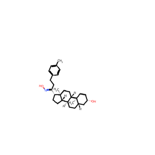 Cc1ccc(CC/C(=N\O)[C@H]2CC[C@H]3[C@@H]4CC[C@H]5C[C@@H](O)CC[C@]5(C)[C@H]4CC[C@]23C)cc1